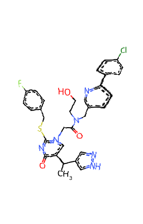 CC(c1cn[nH]c1)c1cn(CC(=O)N(CCO)Cc2ccc(-c3ccc(Cl)cc3)nc2)c(SCc2ccc(F)cc2)nc1=O